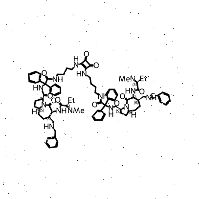 CC[C@H](NC)C(=O)NC1C(=O)N2[C@@H](CC[C@@H]1CNCc1ccccc1)CC[C@H]2C(=O)NC(C(=O)NCCCCNc1c(NCCCCNC(=O)C(NC(=O)[C@@H]2CC[C@@H]3CC[C@H](CNCc4ccccc4)[C@H](NC(=O)[C@H](CC)NC)C(=O)N32)(c2ccccc2)c2ccccc2)c(=O)c1=O)(c1ccccc1)c1ccccc1